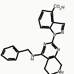 O=C(O)c1cccc2c1cnn2-c1nc2c(c(NCc3ccccc3)n1)CCNC2